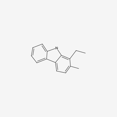 CCc1c(C)ccc2c1[N]c1ccccc1-2